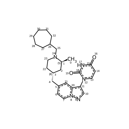 C[C@H]1C[C@H](Cc2ccn3ncc(-n4ccc(=O)[nH]c4=O)c3c2)CCN1CC1CCCCCC1